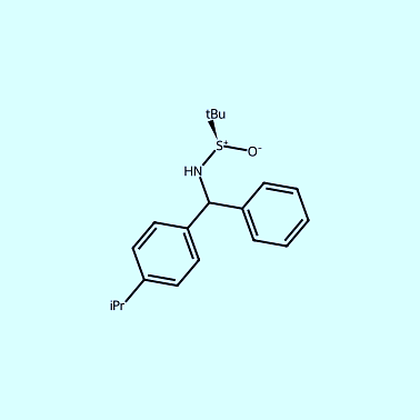 CC(C)c1ccc(C(N[S@+]([O-])C(C)(C)C)c2ccccc2)cc1